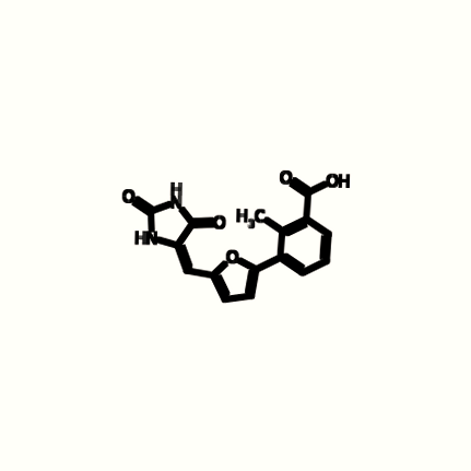 Cc1c(C(=O)O)cccc1-c1ccc(C=C2NC(=O)NC2=O)o1